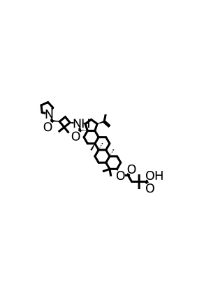 C=C(C)[C@@H]1CC[C@]2(C(=O)N[C@@H]3C[C@H](C(=O)N4CCCC4)C3(C)C)CC[C@]3(C)C(CCC4[C@@]5(C)CC[C@H](OC(=O)CC(C)(C)C(=O)O)C(C)(C)C5CC[C@]43C)C12